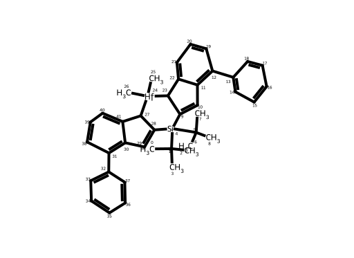 CC(C)(C)[Si]1(C(C)(C)C)C2=Cc3c(-c4ccccc4)cccc3[CH]2[Hf]([CH3])([CH3])[CH]2C1=Cc1c(-c3ccccc3)cccc12